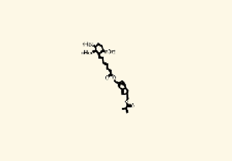 C=C(C)C(=O)OCC1CC2C3CC(COC(=O)CCCCCCC4C(CCCCCCCC)CCC(CCCCCC)C4CCCCCC)C(C3)C2C1